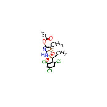 C=CC(c1c(Cl)cc(Cl)cc1Cl)S(=O)(=O)Nc1nc(OC(=O)CC)c(C)s1